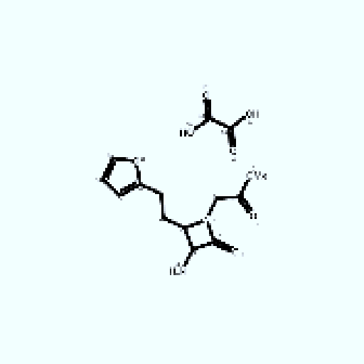 COC(=O)CN1C(=O)C(N)C1CCc1ccco1.O=C(O)C(=O)O